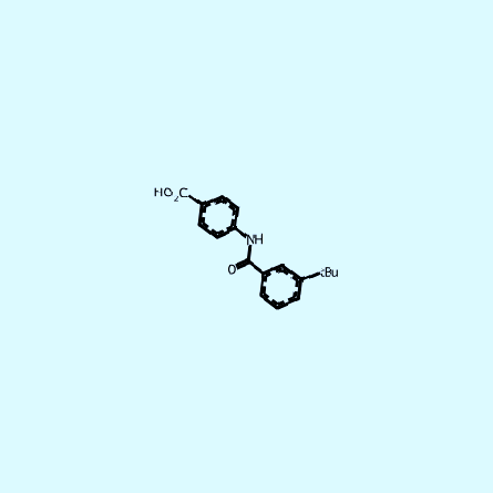 CC(C)(C)c1cccc(C(=O)Nc2ccc(C(=O)O)cc2)c1